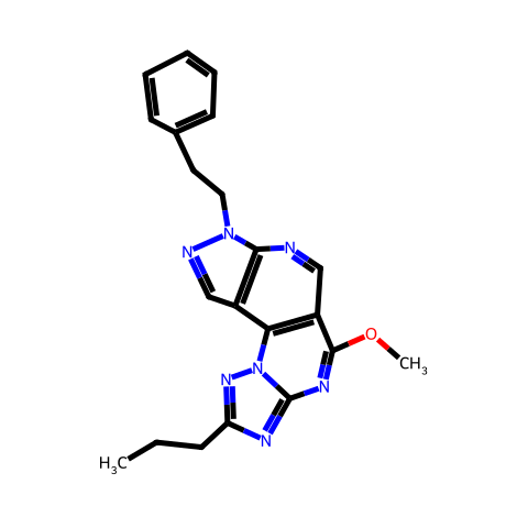 CCCc1nc2nc(OC)c3cnc4c(cnn4CCc4ccccc4)c3n2n1